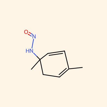 CC1=CCC(C)(NN=O)C=C1